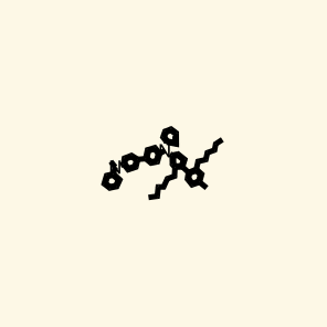 CCCCCCc1cc(C)ccc1-c1ccc(N(c2ccccc2)c2ccc(-c3ccc(N(C)c4ccccc4)cc3)cc2)cc1CCCCCC